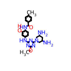 COc1nc(Nc2ccc(NC(=O)c3ccc(C)cc3)c(O)c2)nc(N2CC(N)CC(N)C2)n1